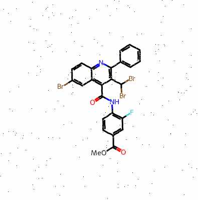 COC(=O)c1ccc(NC(=O)c2c(C(Br)Br)c(-c3ccccc3)nc3ccc(Br)cc23)c(F)c1